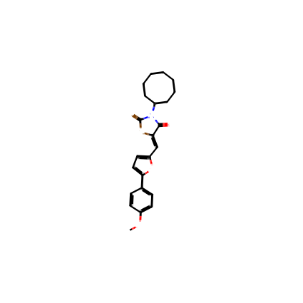 COc1ccc(-c2ccc(C=C3SC(=S)N(C4CCCCCCC4)C3=O)o2)cc1